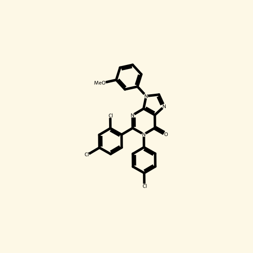 COc1cccc(-n2cnc3c(=O)n(-c4ccc(Cl)cc4)c(-c4ccc(Cl)cc4Cl)nc32)c1